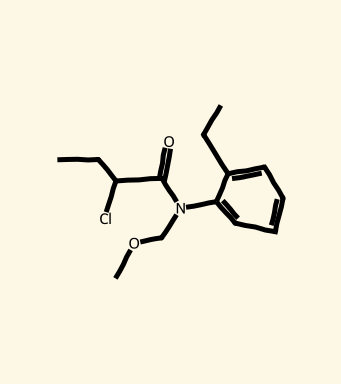 CCc1ccccc1N(COC)C(=O)C(Cl)CC